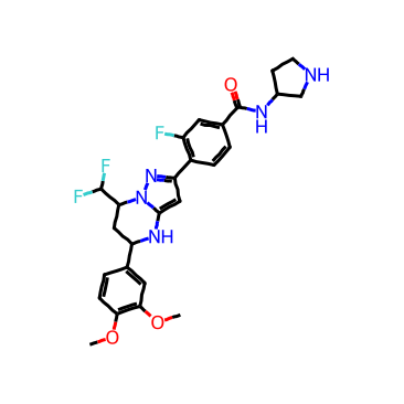 COc1ccc(C2CC(C(F)F)n3nc(-c4ccc(C(=O)NC5CCNC5)cc4F)cc3N2)cc1OC